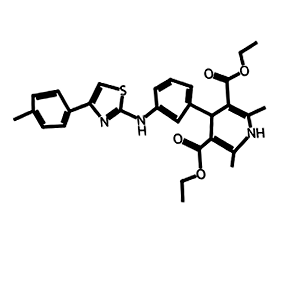 CCOC(=O)C1=C(C)NC(C)=C(C(=O)OCC)C1c1cccc(Nc2nc(-c3ccc(C)cc3)cs2)c1